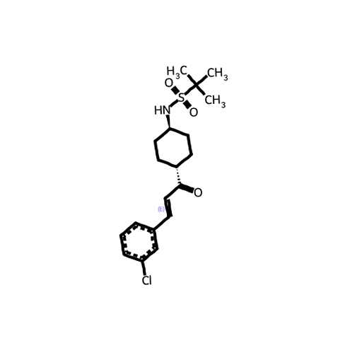 CC(C)(C)S(=O)(=O)N[C@H]1CC[C@H](C(=O)/C=C/c2cccc(Cl)c2)CC1